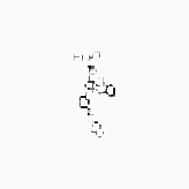 CC(C)(OCc1cc(-c2cccc(OCN3CCOCC3)c2)n(Cc2ccccc2Cl)n1)C(=O)O